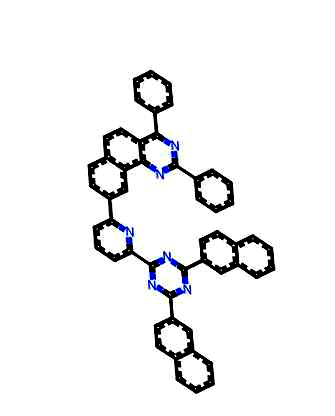 c1ccc(-c2nc(-c3ccccc3)c3ccc4ccc(-c5cccc(-c6nc(-c7ccc8ccccc8c7)nc(-c7ccc8ccccc8c7)n6)n5)cc4c3n2)cc1